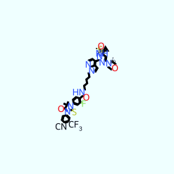 C[C@@H]1COCCN1c1cc(C2([S@](C)(=N)=O)CC2)nc(-c2ccnc3c2ccn3CCCCCCNC(=O)c2ccc(N3C(=S)N(c4ccc(C#N)c(C(F)(F)F)c4)C(=O)C3(C)C)cc2F)n1